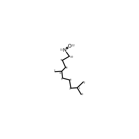 CC(C)CCCC(C)CCCN=O